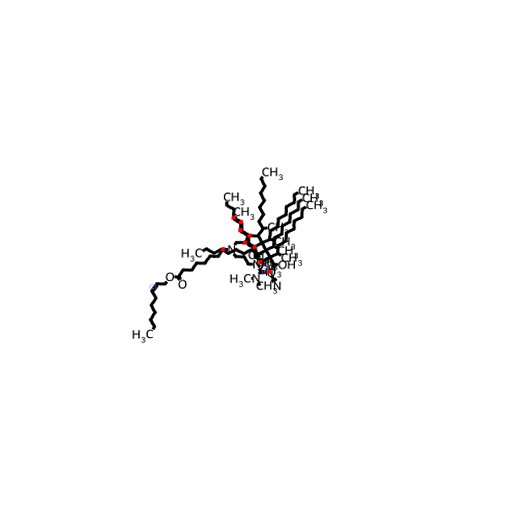 CCCCCC/C=C\COC(=O)CCCCCCCN(CCCN/C(=N/C#N)N(C)C)CCCC(C(C)CCCCCCCC)C(C(C)CCCCCCCC)(C(C)CCCCCCCC)C(C(C)CCCCCCCC)(C(C)CCCCCCCC)C(C(=O)O)(C(C)CCCCCCCC)C(C)CCCCCCCC